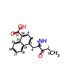 CCC(=O)C(=N)Cc1ccc(C(=O)O)c2ccccc12